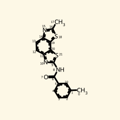 Cc1cccc(C(=O)Nc2nc3ccc4nc(C)sc4c3s2)c1